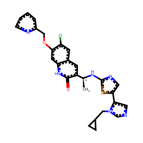 C[C@H](Nc1ncc(-c2cncn2CC2CC2)s1)c1cc2cc(Cl)c(OCc3ccccn3)cc2[nH]c1=O